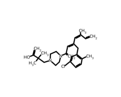 C=C/C(C)=C\C(=C\C(=C)N1CCN(CC(C)(C)C(=C)O)CC1)Cc1cc(Cl)ccc1C